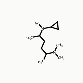 CC(=O)N(C(C)CCC(C)N(C)C)C1CC1